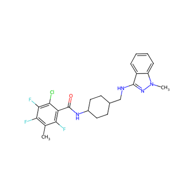 Cc1c(F)c(F)c(Cl)c(C(=O)NC2CCC(CNc3nn(C)c4ccccc34)CC2)c1F